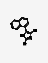 Brc1nc(Br)c(-c2cccc3ccccc23)[nH]1